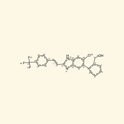 OCc1ccccc1-c1cc2nc(/C=C/c3ccc(C(F)(F)F)cc3)[nH]c2cc1Cl